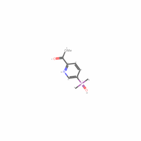 COC(=O)c1ccc(P(C)(C)=O)cn1